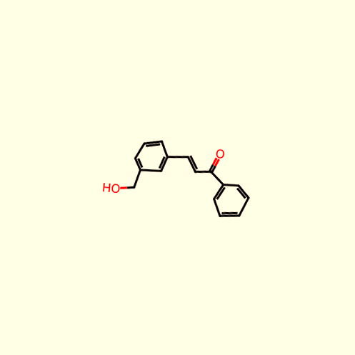 O=C(/C=C/c1cccc(CO)c1)c1ccccc1